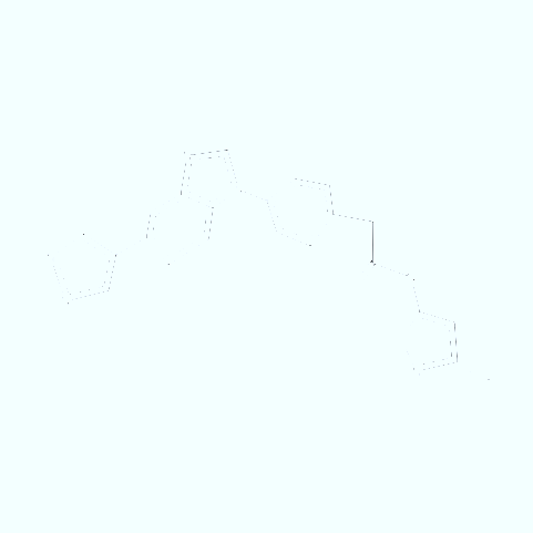 CC(C)(C)c1cc(NC(=O)Cc2ccc(-n3cnc4cc(-c5cn[nH]c5)ccc43)cc2)sn1